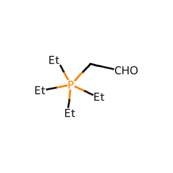 CCP(CC)(CC)(CC)CC=O